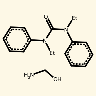 CCN(C(=O)N(CC)c1ccccc1)c1ccccc1.NCO